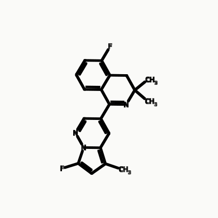 Cc1cc(F)n2ncc(C3=NC(C)(C)Cc4c(F)cccc43)cc12